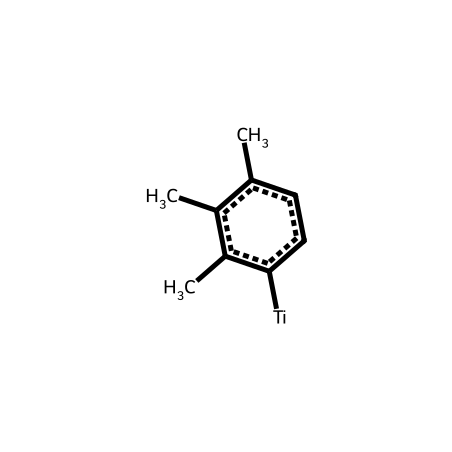 Cc1cc[c]([Ti])c(C)c1C